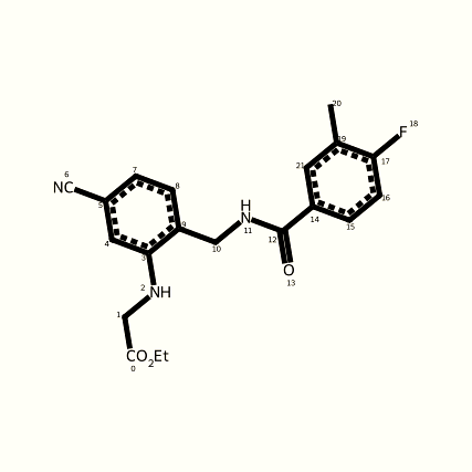 CCOC(=O)CNc1cc(C#N)ccc1CNC(=O)c1ccc(F)c(C)c1